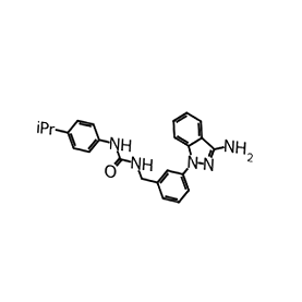 CC(C)c1ccc(NC(=O)NCc2cccc(-n3nc(N)c4ccccc43)c2)cc1